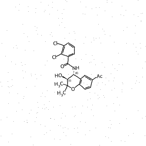 CC(=O)c1ccc2c(c1)[C@@H](NC(=O)c1cccc(Cl)c1Cl)[C@H](O)C(C)(C)O2